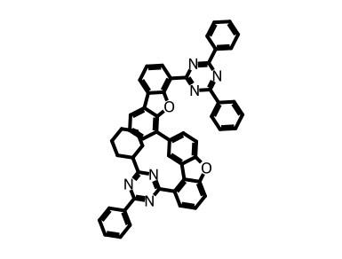 c1ccc(-c2nc(-c3ccccc3)nc(-c3cccc4c3oc3c(-c5ccc6oc7cccc(-c8nc(-c9ccccc9)nc(C9CCCCC9)n8)c7c6c5)cccc34)n2)cc1